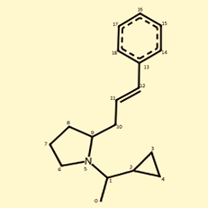 CC(C1CC1)N1CCCC1CC=Cc1ccccc1